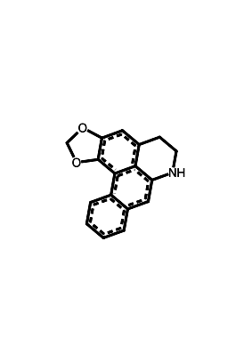 c1ccc2c(c1)cc1c3c(cc4c(c32)OCO4)CCN1